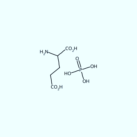 NC(CCC(=O)O)C(=O)O.O=P(O)(O)O